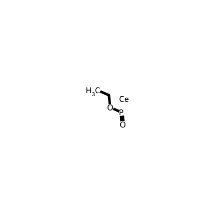 CCOP=O.[Ce]